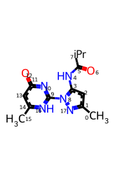 Cc1cc(NC(=O)C(C)C)n(-c2nc(=O)cc(C)[nH]2)n1